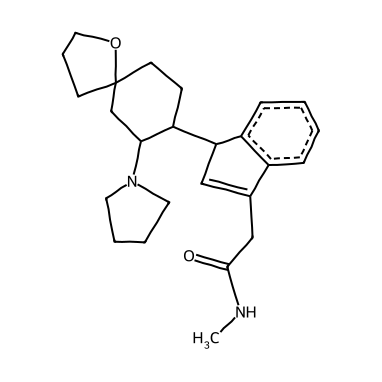 CNC(=O)CC1=CC(C2CCC3(CCCO3)CC2N2CCCC2)c2ccccc21